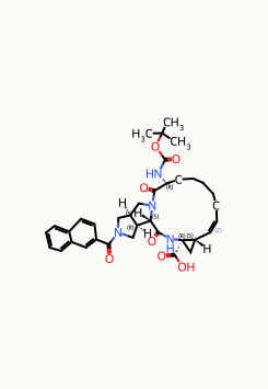 CC(C)(C)OC(=O)N[C@@H]1CCCCC/C=C\[C@@H]2C[C@@]2(C(=O)O)NC(=O)[C@@H]2[C@H]3CN(C(=O)c4ccc5ccccc5c4)C[C@H]3CN2C1=O